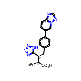 CCC[C@H](C(=O)O)[C@H](Cc1ccc(-c2ccc3ncnn3c2)cc1)c1nnn[nH]1